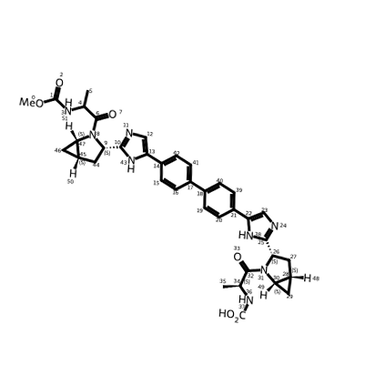 COC(=O)NC(C)C(=O)N1[C@H](c2ncc(-c3ccc(-c4ccc(-c5cnc([C@@H]6C[C@@H]7C[C@@H]7N6C(=O)[C@H](C)NC(=O)O)[nH]5)cc4)cc3)[nH]2)C[C@@H]2C[C@@H]21